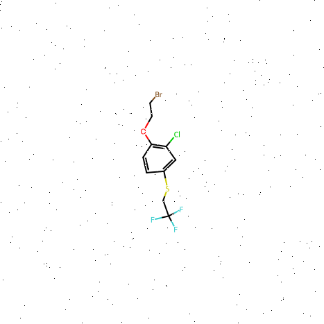 FC(F)(F)CSc1ccc(OCCBr)c(Cl)c1